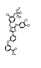 COC(=O)c1cccc(Oc2cccc(-c3nn(Cc4ccc(CP(=O)(OF)OF)c(Cl)c4)c(=Nc4ccc(Cl)c(Cl)c4)s3)c2)c1